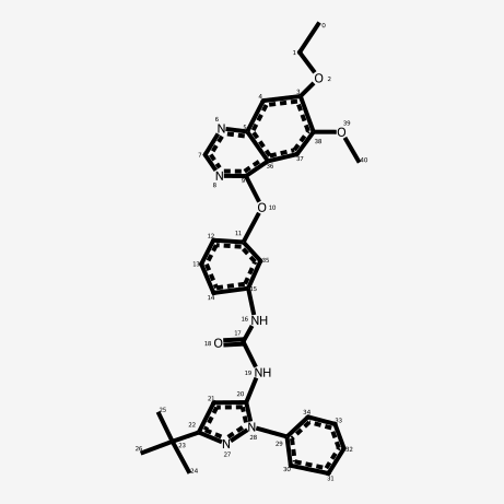 CCOc1cc2ncnc(Oc3cccc(NC(=O)Nc4cc(C(C)(C)C)nn4-c4ccccc4)c3)c2cc1OC